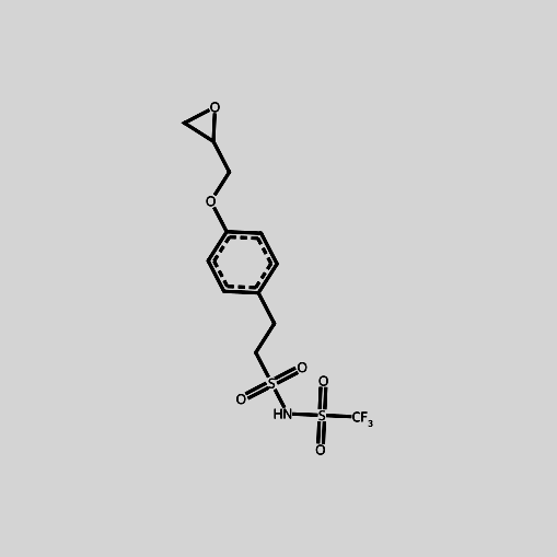 O=S(=O)(CCc1ccc(OCC2CO2)cc1)NS(=O)(=O)C(F)(F)F